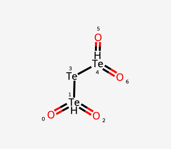 O=[TeH](=O)[Te][TeH](=O)=O